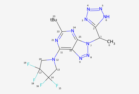 CC(c1nnn[nH]1)n1nnc2c(N3CC(F)(F)C(F)(F)C3)nc(C(C)(C)C)nc21